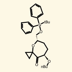 CCCCO[C@@H]1CC[C@@H](CO[Si](c2ccccc2)(c2ccccc2)C(C)(C)C)OC2(CC2)C1=O